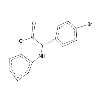 O=C1Oc2ccccc2N[C@H]1c1ccc(Br)cc1